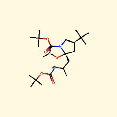 CC(C[C@]1(O[SiH](C)C)C[C@H](C(C)(C)C)CN1C(=O)OC(C)(C)C)NC(=O)OC(C)(C)C